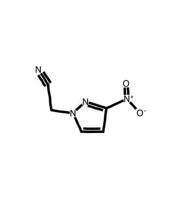 N#CCn1ccc([N+](=O)[O-])n1